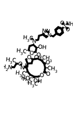 CC[C@H]1OC(=O)[C@H](C)C(=O)[C@H](C)[C@@H](O[C@@H]2O[C@H](C)C[C@H](N(C)CCc3cn(Cc4ccc(S(N)(=O)=O)cc4)nn3)[C@H]2O)[C@@]2(C)C[C@@H](CO2)/C(=N\O[C@H](C)CN)[C@H](C)[C@@H](O)[C@]1(C)O